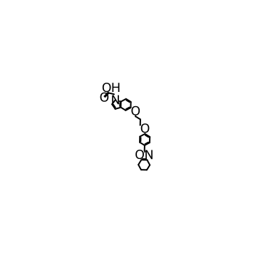 O=C(O)Cn1ccc2cc(OCCCOc3ccc(-c4nc5c(o4)CCCC5)cc3)ccc21